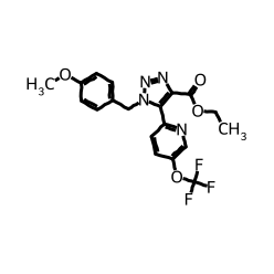 CCOC(=O)c1nnn(Cc2ccc(OC)cc2)c1-c1ccc(OC(F)(F)F)cn1